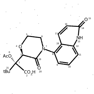 CC(=O)O[C@@](C(=O)O)([C@H]1OCCN(c2cccc3[nH]c(=O)ccc23)C1=O)C(C)(C)C